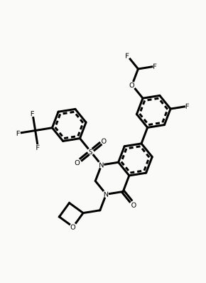 O=C1c2ccc(-c3cc(F)cc(OC(F)F)c3)cc2N(S(=O)(=O)c2cccc(C(F)(F)F)c2)CN1CC1CCO1